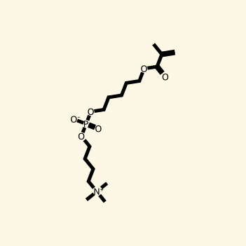 C=C(C)C(=O)OCCCCCOP(=O)([O-])OCCCC[N+](C)(C)C